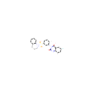 O=c1[nH]c2ccc(F)cc2c(=O)n1-c1cccc(S(=O)(=O)N2CCCc3ccccc32)c1